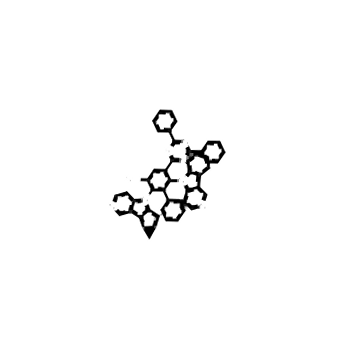 N#Cc1cc(-c2nc(-c3ccccc3)nc(-c3ccccc3)n2)c(-n2c3ccccc3c3cnccc32)c(-c2ccccc2)c1-n1c2ccncc2c2c3cc-3cc21